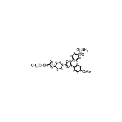 COc1ccc(-c2nc(C3CCC(SC(=S)N(C)O)CC3)oc2-c2ccc(S(N)(=O)=O)cc2)cc1